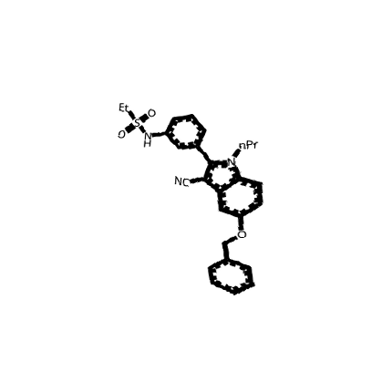 CCCn1c(-c2cccc(NS(=O)(=O)CC)c2)c(C#N)c2cc(OCc3ccccc3)ccc21